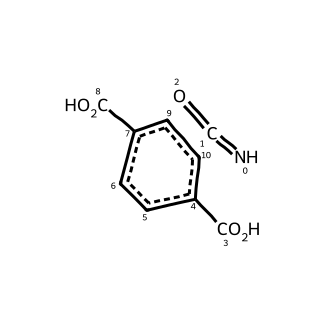 N=C=O.O=C(O)c1ccc(C(=O)O)cc1